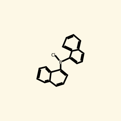 ClB(c1cccc2ccccc12)c1cccc2ccccc12